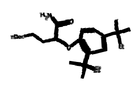 CCCCCCCCCCCCC(Oc1ccc(C(C)(C)CC)cc1C(C)(C)CC)C(N)=O